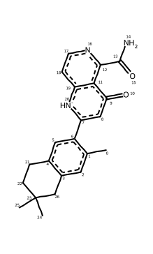 Cc1cc2c(cc1-c1cc(=O)c3c(C(N)=O)nccc3[nH]1)CCC(C)(C)C2